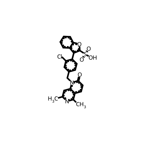 Cc1cc2c(ccc(=O)n2Cc2ccc(-c3c(S(=O)(=O)O)oc4ccccc34)c(Cl)c2)c(C)n1